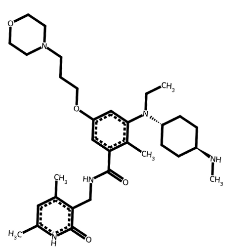 CCN(c1cc(OCCCN2CCOCC2)cc(C(=O)NCc2c(C)cc(C)[nH]c2=O)c1C)[C@H]1CC[C@H](NC)CC1